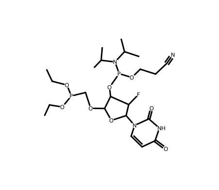 CCOP(COC1OC(n2ccc(=O)[nH]c2=O)C(F)C1OP(OCCC#N)N(C(C)C)C(C)C)OCC